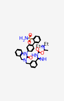 CCN(CC)C(C)OC(=O)NC(=N)c1cccc(CN(Cc2ccccc2)C(=O)Nc2ccc(-c3ccccc3S(N)(=O)=O)cc2)c1